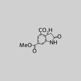 COC(=O)c1cc2c(c(C(=O)O)c1)CC(=O)N2